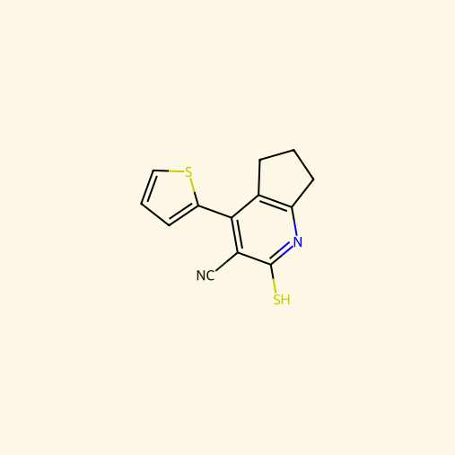 N#Cc1c(S)nc2c(c1-c1cccs1)CCC2